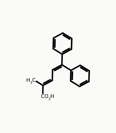 CC(=CC=C(c1ccccc1)c1ccccc1)C(=O)O